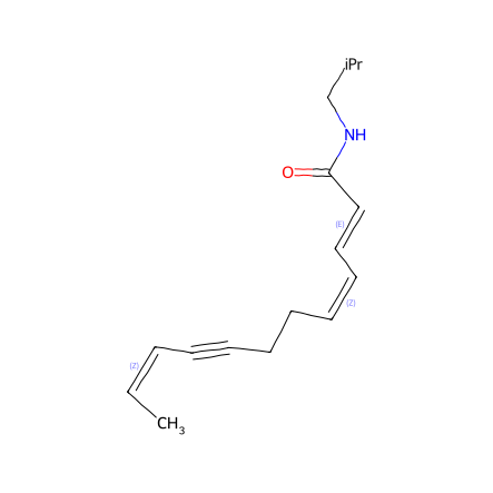 C/C=C\C#CCC/C=C\C=C\C(=O)NCC(C)C